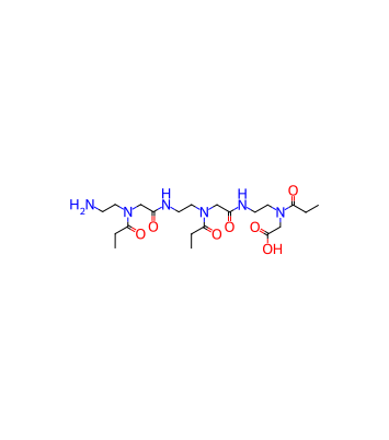 CCC(=O)N(CCNC(=O)CN(CCNC(=O)CN(CCN)C(=O)CC)C(=O)CC)CC(=O)O